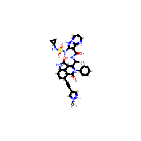 CC(NC(=O)c1c(NS(=O)(=O)NC2CC2)nn2cccnc12)c1c2c3c(ccc(C#Cc4cnn(C)c4)c3c(=O)n1-c1ccccc1)NC2=O